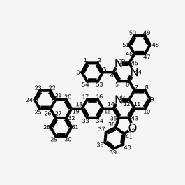 c1ccc(-c2cc(-c3cccc4c3nc(-c3ccc(-c5cc6ccccc6c6ccccc56)cc3)c3c5ccccc5oc43)nc(-c3ccccc3)n2)cc1